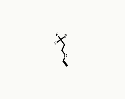 C=COCCC(F)(F)F